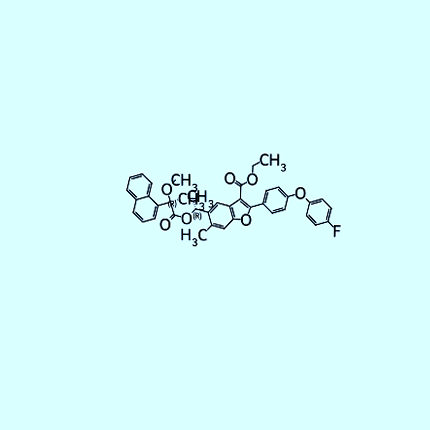 CCOC(=O)c1c(-c2ccc(Oc3ccc(F)cc3)cc2)oc2cc(C)c([C@@H](C)OC(=O)[C@](C)(OC)c3cccc4ccccc34)cc12